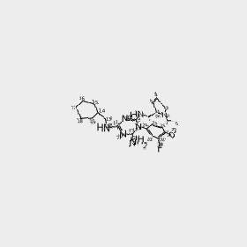 CCN1CCC[C@@H]1CNC1=NC(NCC2CCCCC2)=NC(N)N1c1ccc(OC)c(F)c1